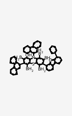 Bc1c(O)c2c(c(B)c1-c1cc3ccccc3c3ccccc13)Sc1c(B)c(-c3cccc4c3oc3c(-c5ccccc5)cccc34)c(B)c(B)c1N2c1cc2ccccc2c2ccccc12